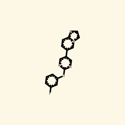 Fc1cccc(Oc2ncc(-c3ccc4nccn4c3)cn2)c1